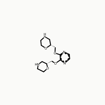 c1cnc(OC[C@H]2CNCCO2)c(OC[C@H]2CNCCO2)n1